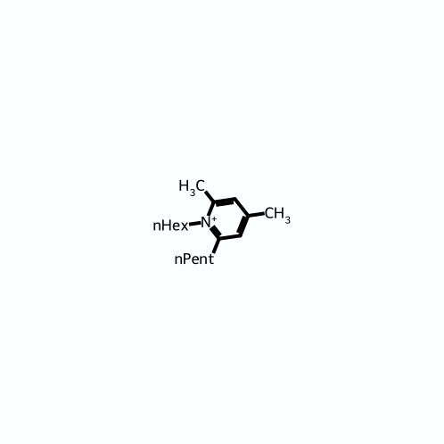 CCCCCC[n+]1c(C)cc(C)cc1CCCCC